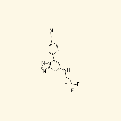 N#Cc1ccc(-c2cc(NCCC(F)(F)F)cc3ncnn23)cc1